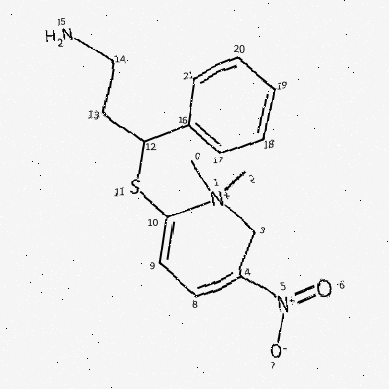 C[N+]1(C)CC([N+](=O)[O-])=CC=C1SC(CCN)c1ccccc1